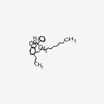 CCCCCCCCCCc1c(CCC)ccc(O)c1C(C)(C)c1ccccc1